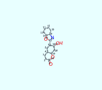 O=c1ccc2cc(-c3nc4ccccc4o3)c(O)cc2o1